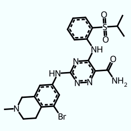 CC(C)S(=O)(=O)c1ccccc1Nc1nc(Nc2cc(Br)c3c(c2)CN(C)CC3)nnc1C(N)=O